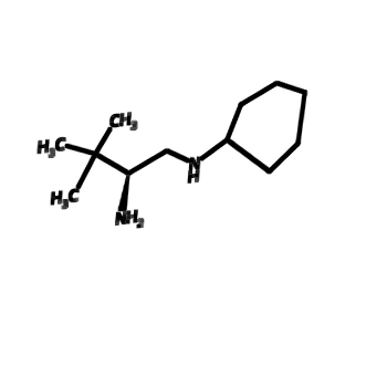 CC(C)(C)[C@H](N)CNC1CCCCC1